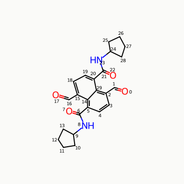 O=Cc1ccc(C(=O)NC2CCCC2)c2c(C=O)ccc(C(=O)NC3CCCC3)c12